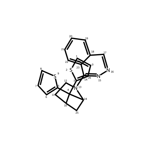 c1csc(C2(c3cccs3)C3CCN(c4nncc5ccccc45)C2C3)c1